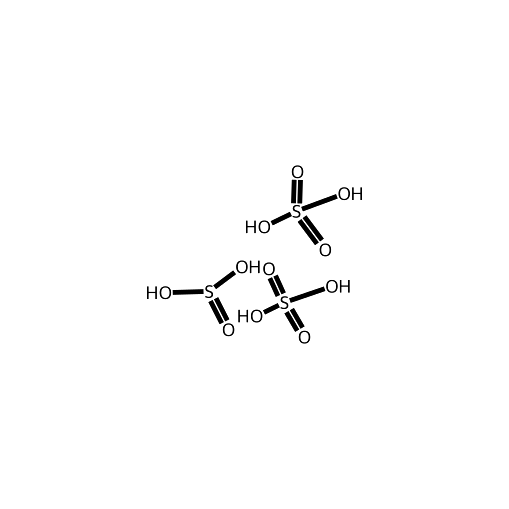 O=S(=O)(O)O.O=S(=O)(O)O.O=S(O)O